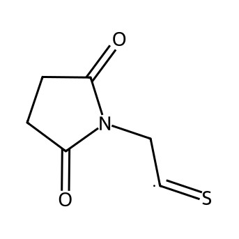 O=C1CCC(=O)N1C[C]=S